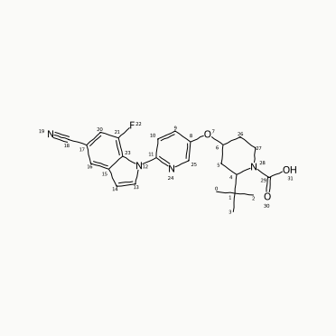 CC(C)(C)C1CC(Oc2ccc(-n3ccc4cc(C#N)cc(F)c43)nc2)CCN1C(=O)O